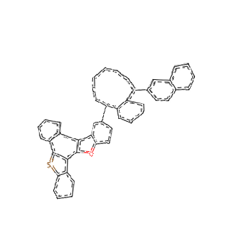 c1cccc(-c2ccc3oc4c(c3c2)c2ccccc2c2sc3ccccc3c42)c2ccccc2c(-c2ccc3ccccc3c2)cc1